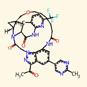 CC(=O)c1nn2c3c(cc(-c4cnc(C)nc4)cc13)NC(=O)CCCCCOC[C@@]13C[C@@H](C(=O)Nc4nc(C(F)(F)F)ccc4C)N(C(=O)C2)[C@@H]1C3